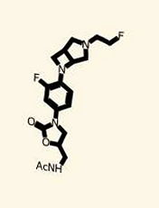 CC(=O)NCC1CN(c2ccc(N3CC4CN(CCF)CC43)c(F)c2)C(=O)O1